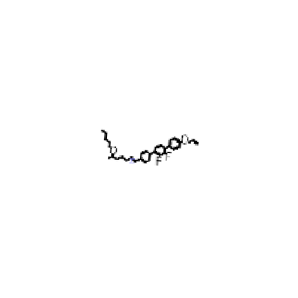 C=CCOc1ccc(-c2ccc(-c3ccc(/C=C/CCCC(C)OCCCCC)cc3)c(F)c2F)cc1